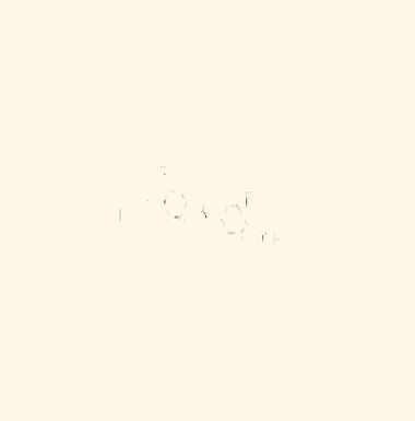 Fc1cc(SSc2ccc(CC(F)(F)F)c(F)c2)ccc1CC(F)(F)F